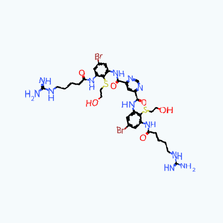 N=C(N)NCCCCC(=O)Nc1cc(Br)cc(NC(=O)c2cc(C(=O)Nc3cc(Br)cc(NC(=O)CCCCNC(=N)N)c3SCCO)ncn2)c1SCCO